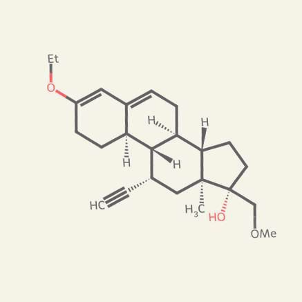 C#C[C@H]1C[C@@]2(C)[C@@H](CC[C@@]2(O)COC)[C@@H]2CC=C3C=C(OCC)CC[C@@H]3[C@H]21